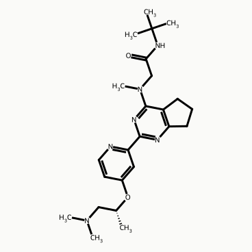 C[C@H](CN(C)C)Oc1ccnc(-c2nc3c(c(N(C)CC(=O)NC(C)(C)C)n2)CCC3)c1